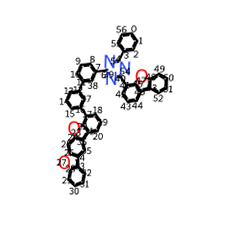 c1ccc(-c2nc(-c3cccc(-c4cccc(-c5cccc6c5oc5cc7oc8ccccc8c7cc56)c4)c3)nc(-c3cccc4c3oc3ccccc34)n2)cc1